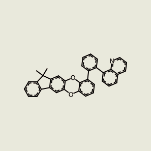 CC1(C)c2ccccc2-c2cc3c(cc21)Oc1c(cccc1-c1ccccc1-c1cccc2cccnc12)O3